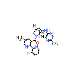 Cc1cnc(-c2ncccc2F)c(C(=O)N2C[C@H]3C[C@@H](Nc4cnc(C(F)(F)F)cn4)[C@@H]2C3)c1